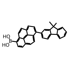 CC1(C)c2ccccc2-c2ccc(-c3ccc4ccc5c(B(O)O)ccc6ccc3c4c65)cc21